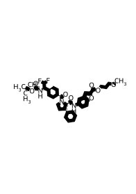 COCCCOC(=O)c1cc2cc(NC(=O)[C@@H]3[C@H](C4CCCCC4)CCN3C(=O)[C@H]3CC[C@H]([C@H](NC(=O)OC(C)(C)C)C(F)F)CC3)ccc2o1